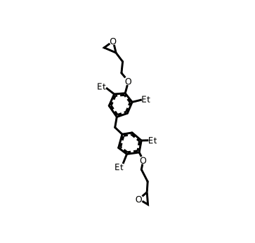 CCc1cc(Cc2cc(CC)c(OCCC3CO3)c(CC)c2)cc(CC)c1OCCC1CO1